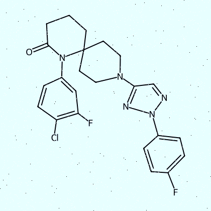 O=C1CCCC2(CCN(c3cnn(-c4ccc(F)cc4)n3)CC2)N1c1ccc(Cl)c(F)c1